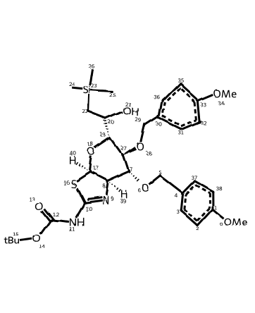 COc1ccc(CO[C@@H]2[C@H]3N=C(NC(=O)OC(C)(C)C)S[C@H]3O[C@H](C(O)C[Si](C)(C)C)[C@H]2OCc2ccc(OC)cc2)cc1